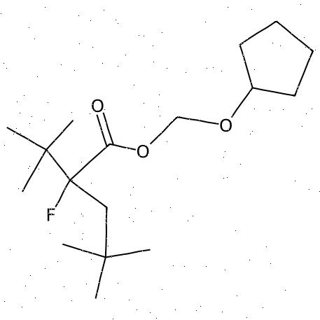 CC(C)(C)CC(F)(C(=O)OCOC1CCCC1)C(C)(C)C